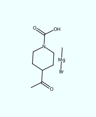 CC(=O)C1CCN(C(=O)O)CC1.[CH3][Mg][Br]